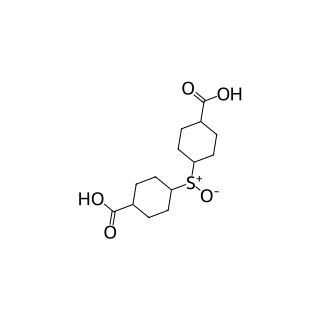 O=C(O)C1CCC([S+]([O-])C2CCC(C(=O)O)CC2)CC1